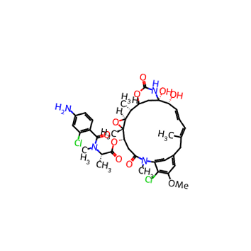 COc1cc2cc(c1Cl)N(C)C(=O)C[C@H](OC(=O)[C@H](C)N(C)C(=O)c1ccc(N)cc1Cl)[C@]1(C)O[C@H]1[C@H](C)[C@@H]1C[C@@](O)(NC(=O)O1)[C@H](O)/C=C/C=C(\C)C2